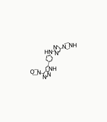 c1nc(N2CCOCC2)c2cc(-c3ccc(Nc4ncc(N5CCNCC5)cn4)cc3)[nH]c2n1